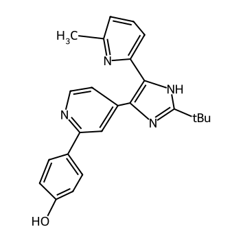 Cc1cccc(-c2[nH]c(C(C)(C)C)nc2-c2ccnc(-c3ccc(O)cc3)c2)n1